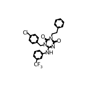 O=c1nc(Nc2cccc(C(F)(F)F)c2)n(Cc2ccc(Cl)cc2)c(=O)n1CCc1ccccc1